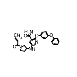 CC=CC(=O)N1CCC(Nc2cnc(Oc3ccc(Oc4ccccc4)cc3)c(C(N)=O)c2)C1